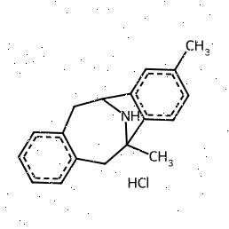 Cc1ccc2c(c1)C1Cc3ccccc3CC2(C)N1.Cl